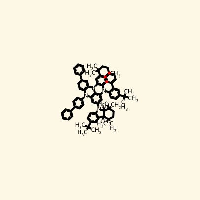 CC1CCC(C)(C)c2cc3c(cc21)N(c1ccc(C(C)(C)C)cc1C1=CC=C=C=C1)c1cc(N2c4ccc(C(C)(C)C)cc4C4(C)C(C)(C)CCC(C)(C)C24C)cc2c1B3c1cc(-c3ccccc3)ccc1N2c1ccc(-c2ccccc2)cc1